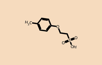 Cc1ccc(OCCS(=O)(=O)O)cc1